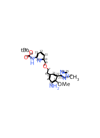 COc1c(N)cc(CCOCc2cccc(NC(=O)OC(C)(C)C)n2)cc1-c1ncn(C)n1